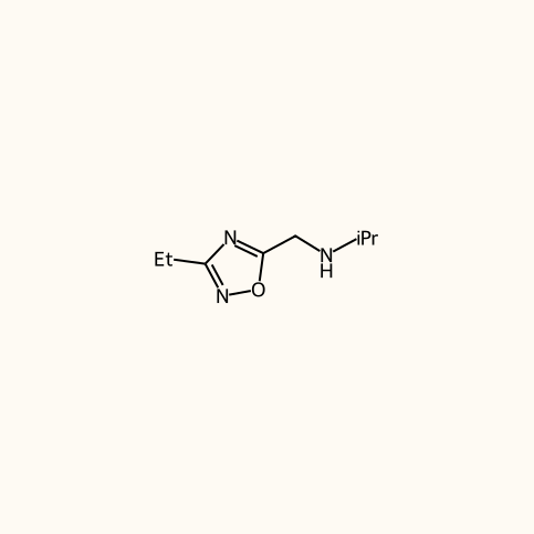 CCc1noc(CNC(C)C)n1